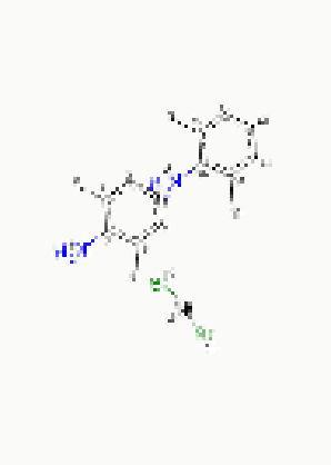 Cc1cccc(C)c1N.Cc1cccc(C)c1N.[Br][Ni][Br]